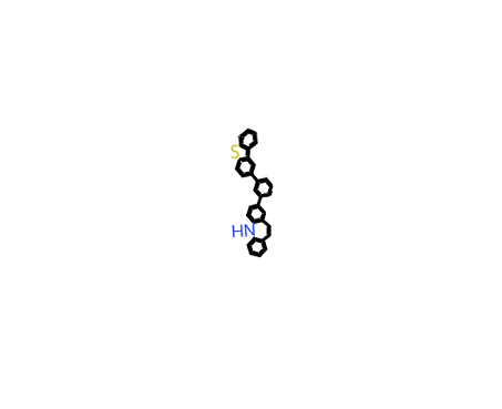 C1=Cc2cc(-c3cccc(-c4ccc5sc6ccccc6c5c4)c3)ccc2Nc2ccccc21